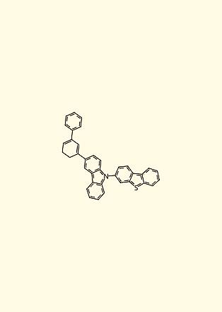 C1=C(c2ccccc2)C=C(c2ccc3c(c2)c2ccccc2n3-c2ccc3c(c2)sc2ccccc23)CC1